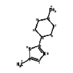 Cc1cnc(C2CCC(C)CC2)s1